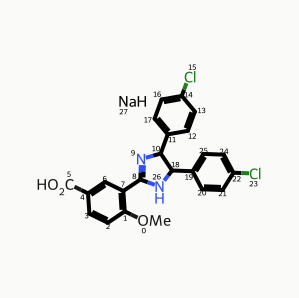 COc1ccc(C(=O)O)cc1C1=NC(c2ccc(Cl)cc2)C(c2ccc(Cl)cc2)N1.[NaH]